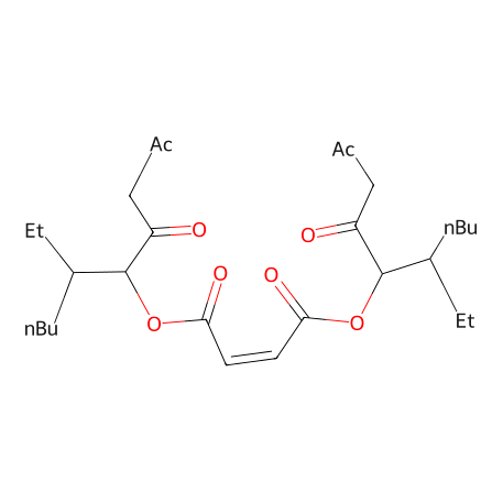 CCCCC(CC)C(OC(=O)/C=C\C(=O)OC(C(=O)CC(C)=O)C(CC)CCCC)C(=O)CC(C)=O